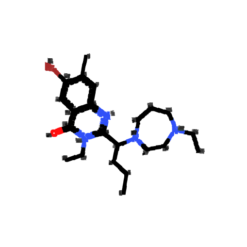 CCCC(c1nc2cc(C)c(Br)cc2c(=O)n1CC)N1CCCN(CC)CC1